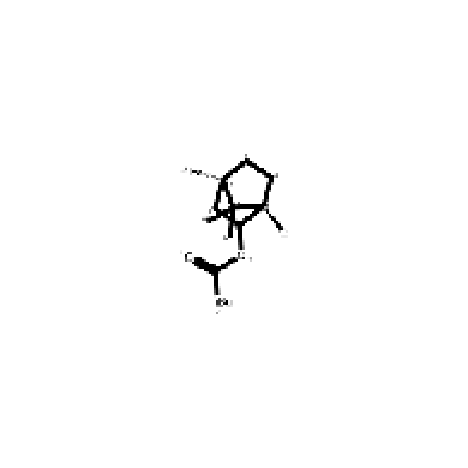 CCC(C)C(=O)OC1C[C@H]2CC[C@@]1(C)C2(C)C